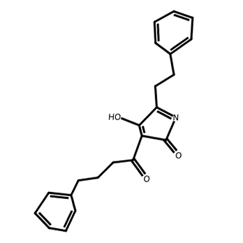 O=C(CCCc1ccccc1)C1=C(O)C(CCc2ccccc2)=NC1=O